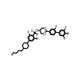 CCCCCC1CCC(c2cc(F)c(C(F)(F)OC3COC(c4ccc(-c5cc(F)c(F)c(F)c5)c(F)c4)OC3)c(F)c2)CC1